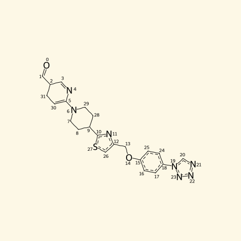 O=CC1C=NC(N2CCC(c3nc(COc4ccc(-n5cnnn5)cc4)cs3)CC2)=CC1